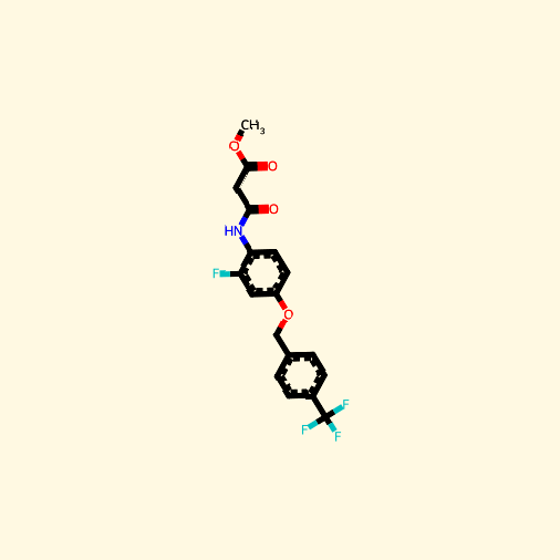 COC(=O)CC(=O)Nc1ccc(OCc2ccc(C(F)(F)F)cc2)cc1F